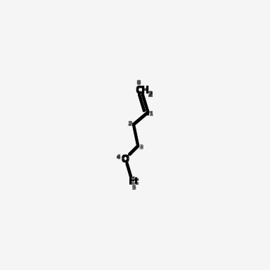 C=[C]CCOCC